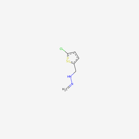 C=NNCc1ccc(Cl)s1